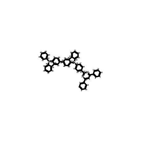 c1ccc(-c2cc(-c3ccccc3)nc(-c3ccc(-n4c5ccccc5c5cc(-c6ccc7c(c6)c6ccccc6n7-c6ccccc6)ccc54)cc3)n2)cc1